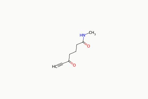 C#CC(=O)CCCC(=O)NC